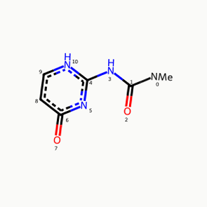 CNC(=O)Nc1nc(=O)cc[nH]1